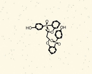 CC(CCOc1ccccc1S(=O)(=O)c1ccc(O)cc1)Oc1ccccc1S(=O)(=O)c1ccc(O)cc1